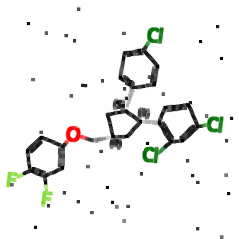 Fc1ccc(OC[C@@H]2C[C@H](c3ccc(Cl)cc3)[C@H](c3ccc(Cl)cc3Cl)C2)cc1F